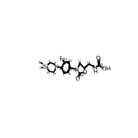 C[Si]1(C)CCN(c2ccc(N3CC(CNC(=O)O)OC3=O)cc2F)CC1